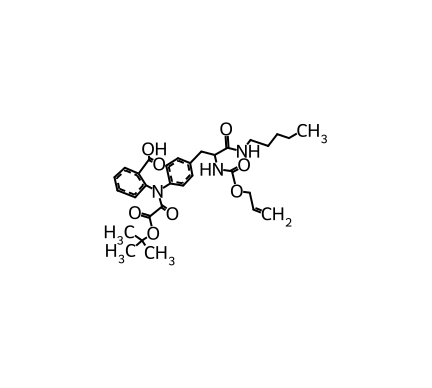 C=CCOC(=O)NC(Cc1ccc(N(C(=O)C(=O)OC(C)(C)C)c2ccccc2C(=O)O)cc1)C(=O)NCCCCC